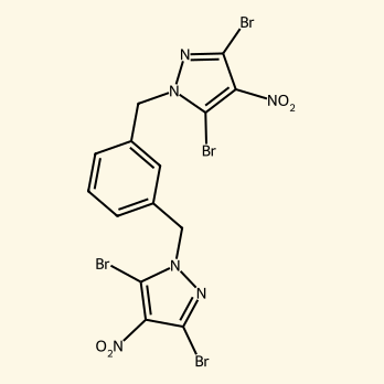 O=[N+]([O-])c1c(Br)nn(Cc2cccc(Cn3nc(Br)c([N+](=O)[O-])c3Br)c2)c1Br